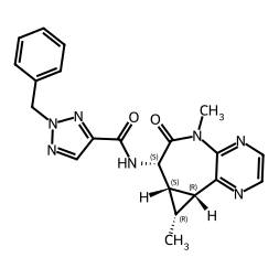 C[C@H]1[C@H]2c3nccnc3N(C)C(=O)[C@@H](NC(=O)c3cnn(Cc4ccccc4)n3)[C@@H]12